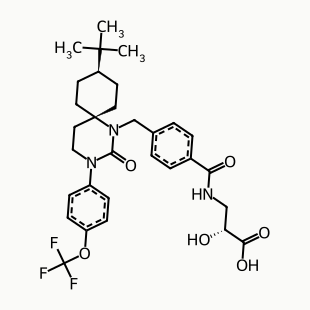 CC(C)(C)[C@H]1CC[C@@]2(CCN(c3ccc(OC(F)(F)F)cc3)C(=O)N2Cc2ccc(C(=O)NC[C@@H](O)C(=O)O)cc2)CC1